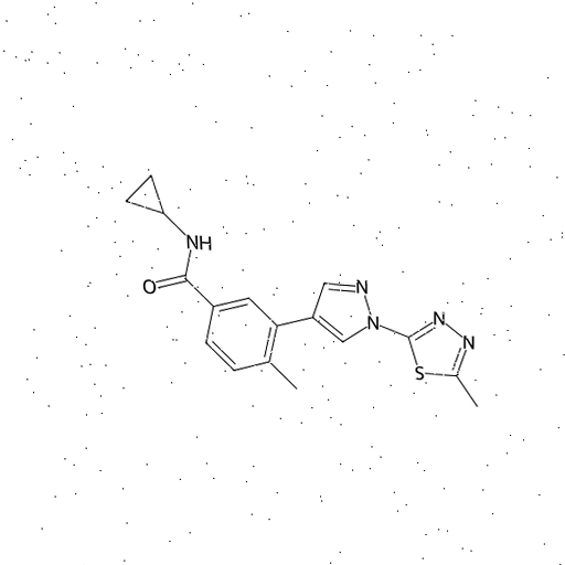 Cc1nnc(-n2cc(-c3cc(C(=O)NC4CC4)ccc3C)cn2)s1